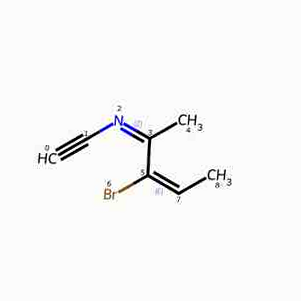 C#C/N=C(C)\C(Br)=C/C